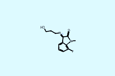 CN1C(=O)/C(=N/CCCO)c2cccc(F)c21